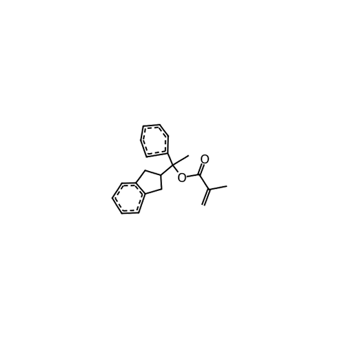 C=C(C)C(=O)OC(C)(c1ccccc1)C1Cc2ccccc2C1